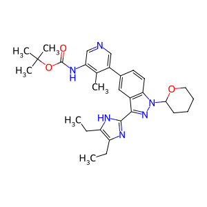 CCc1nc(-c2nn(C3CCCCO3)c3ccc(-c4cncc(NC(=O)OC(C)(C)C)c4C)cc23)[nH]c1CC